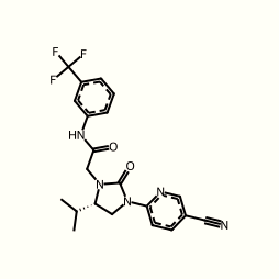 CC(C)[C@H]1CN(c2ccc(C#N)cn2)C(=O)N1CC(=O)Nc1cccc(C(F)(F)F)c1